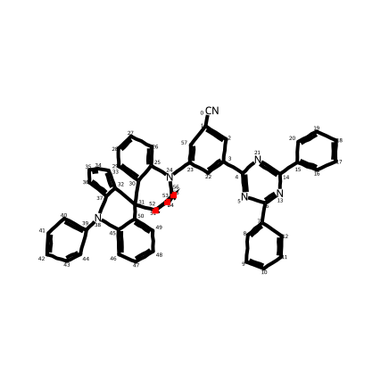 N#Cc1cc(-c2nc(-c3ccccc3)nc(-c3ccccc3)n2)cc(N2c3ccccc3C3(c4ccccc4N(c4ccccc4)c4ccccc43)c3ccccc32)c1